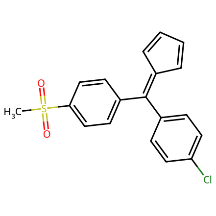 CS(=O)(=O)c1ccc(C(=C2C=CC=C2)c2ccc(Cl)cc2)cc1